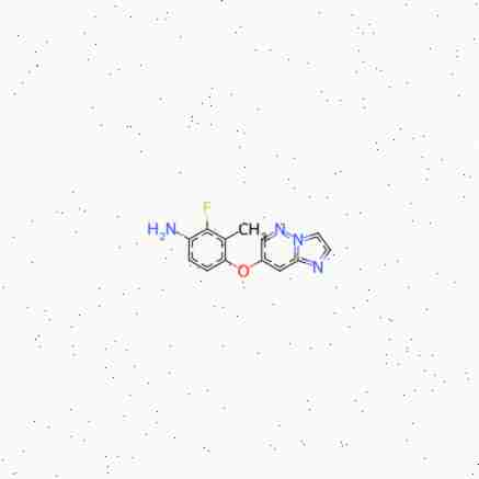 Cc1c(Oc2cnn3ccnc3c2)ccc(N)c1F